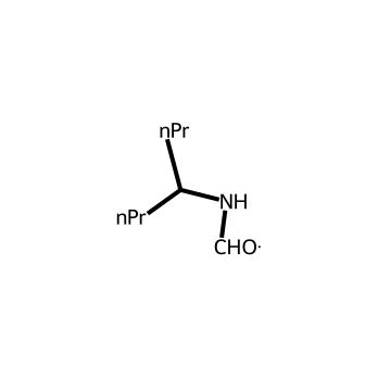 CCCC(CCC)N[C]=O